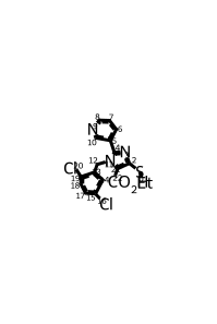 CCSc1nc(-c2cccnc2)n(Cc2cc(Cl)ccc2Cl)c1C(=O)O